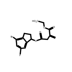 C=C(CC(=O)OC1CCc2c(Br)cc(F)cc21)C(=O)OCC(=O)O